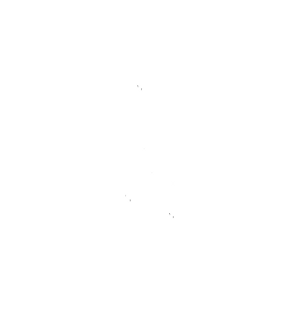 Cc1nsc(-c2ccncc2)n1